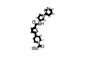 CC(C)(C)C(=O)N1CCC(c2ccc(C(=O)N[C@H]3CCN(c4cccnn4)C3)s2)CC1